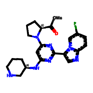 COC(=O)[C@@H]1CCCN1c1cc(N[C@@H]2CCCNC2)nc(-c2cnc3ccc(F)cn23)n1